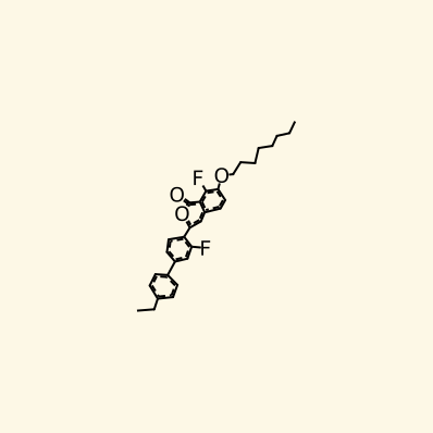 CCCCCCCCOc1ccc2cc(-c3ccc(-c4ccc(CC)cc4)cc3F)oc(=O)c2c1F